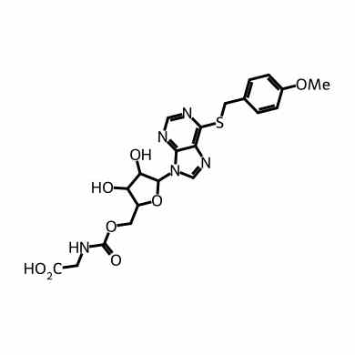 COc1ccc(CSc2ncnc3c2ncn3C2OC(COC(=O)NCC(=O)O)C(O)C2O)cc1